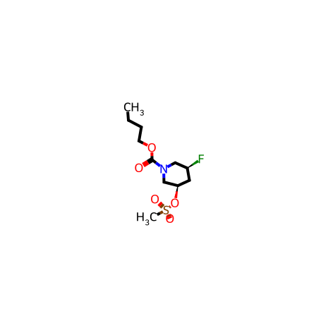 CCCCOC(=O)N1C[C@@H](F)C[C@@H](OS(C)(=O)=O)C1